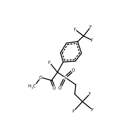 COC(=O)C(F)(c1ccc(C(F)(F)F)cc1)S(=O)(=O)CCC(F)(F)F